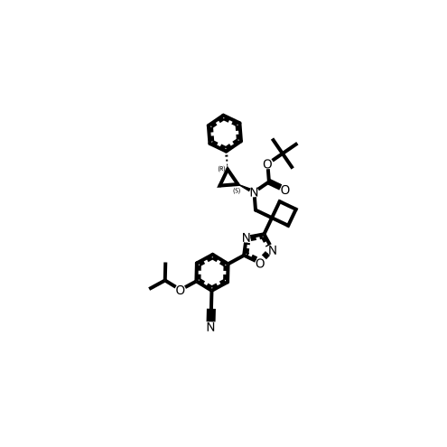 CC(C)Oc1ccc(-c2nc(C3(CN(C(=O)OC(C)(C)C)[C@H]4C[C@@H]4c4ccccc4)CCC3)no2)cc1C#N